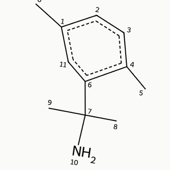 Cc1ccc(C)c(C(C)(C)N)c1